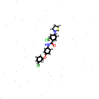 O=C(Nc1ccc(Oc2cccc(Cl)c2)cc1)c1ccc(N2CCCS2)cc1Cl